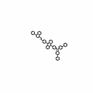 C(=C\c1ccc(-c2ccccc2)c2ccccc12)/c1ccc(-c2c3ccccc3c(-c3ccc(N(c4ccc(-c5ccccc5)cc4)c4ccc(-c5ccccc5)cc4)cc3)c3ccccc23)cc1